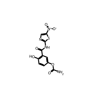 NC(=O)Oc1ccc(O)c(C(=O)Nc2ncc([N+](=O)[O-])s2)c1